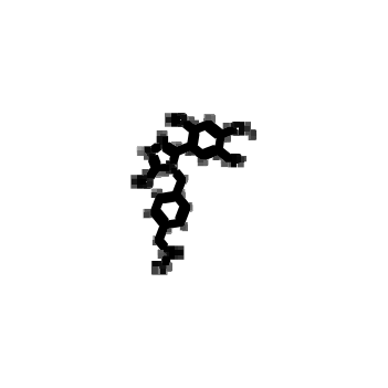 CCNCc1ccc(Cn2c(O)nnc2-c2cc(C(C)C)c(C)cc2O)cc1